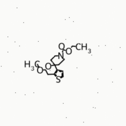 CCOC(=O)N1CCC2(CC1)OC(OC)Cc1sccc12